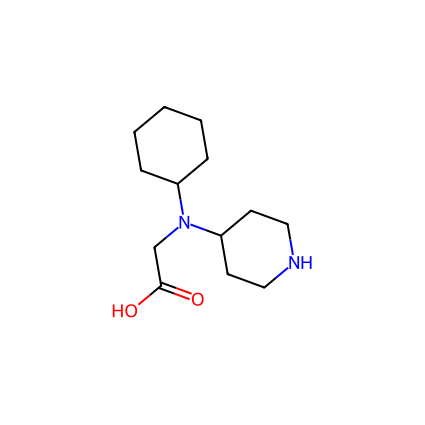 O=C(O)CN(C1CCCCC1)C1CCNCC1